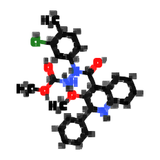 COC(=O)NN(C(=O)c1c(OC)c(-c2ccccc2)nc2ccccc12)c1ccc(C)c(Cl)c1